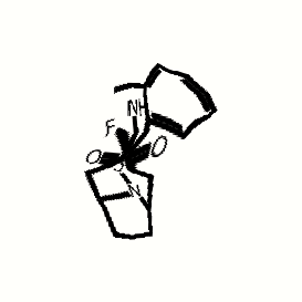 Cc1ccccc1C1(F)CC2CCC(C1)N2S(N)(=O)=O